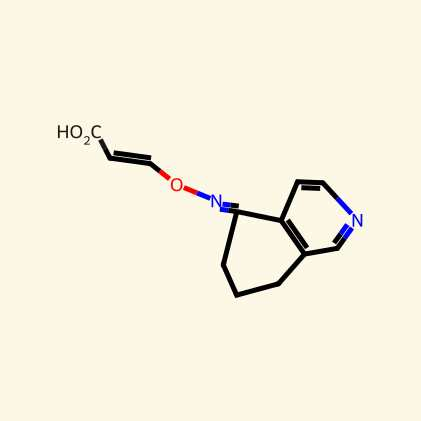 O=C(O)C=CON=C1CCCc2cnccc21